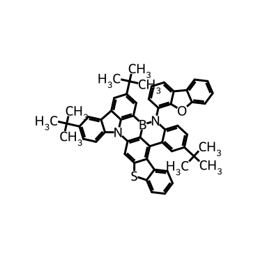 CC(C)(C)c1ccc2c(c1)-c1c3c(cc4sc5ccccc5c14)-n1c4ccc(C(C)(C)C)cc4c4cc(C(C)(C)C)cc(c41)B3N2c1cccc2c1oc1ccccc12